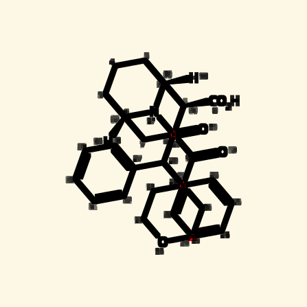 O=C(O)[C@@H]1[C@H]2CCC[C@@H](CN1C(=O)N1CCOCC1)N2C(=O)C(c1ccccc1)c1ccccc1